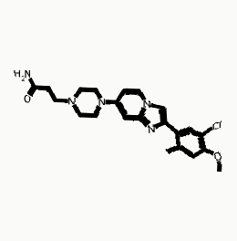 COc1cc(C)c(-c2cn3ccc(N4CCN(CCC(N)=O)CC4)cc3n2)cc1Cl